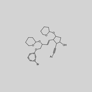 CC(=O)C#CC1C(O)CC(OC2CCCCO2)C1C=CC(COc1cccc(Br)c1)OC1CCCCO1